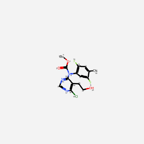 CC(C)(C)OC(=O)N(c1cc(F)c(C#N)cc1F)c1ncnc(Cl)c1CCO